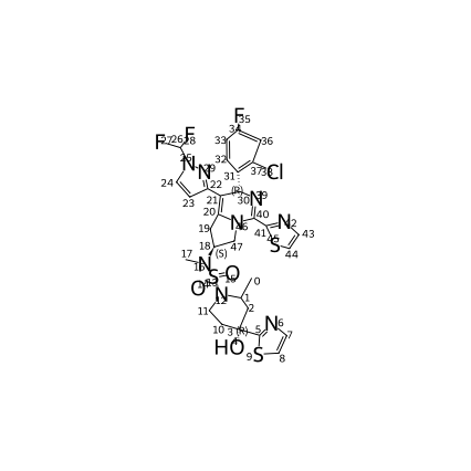 CC1C[C@@](O)(c2nccs2)CCN1S(=O)(=O)N(C)[C@H]1CC2=C(c3ccn(C(F)F)n3)[C@H](c3ccc(F)cc3Cl)N=C(c3nccs3)N2C1